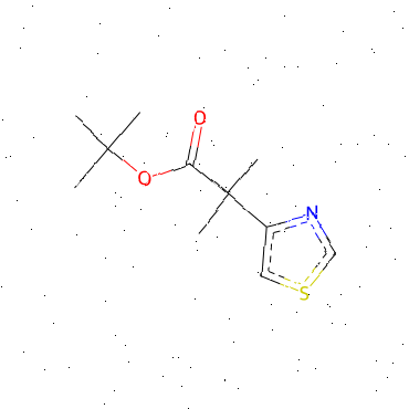 CC(C)(C)OC(=O)C(C)(C)c1cscn1